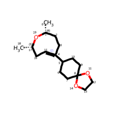 C[C@@H]1CC/C(C2CCC3(CC2)OCCO3)=C/C[C@H](C)O1